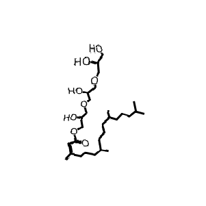 CC(=CC(=O)OCC(O)COCC(O)COCC(O)CO)CCCC(C)CCCC(C)CCCC(C)C